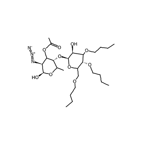 CCCCOCC1O[C@@H](O[C@@H]2C(C)O[C@@H](O)[C@@H](N=[N+]=[N-])C2OC(C)=O)[C@@H](O)C(OCCCC)[C@@H]1OCCCC